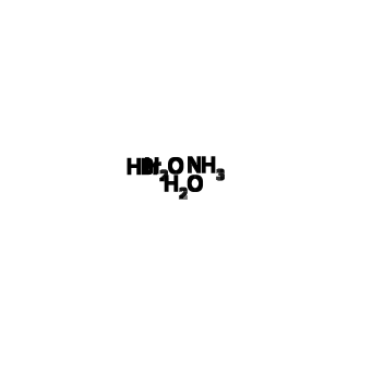 Br.N.O.O